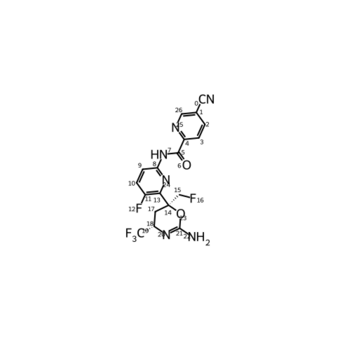 N#Cc1ccc(C(=O)Nc2ccc(F)c([C@]3(CF)C[C@@H](C(F)(F)F)N=C(N)O3)n2)nc1